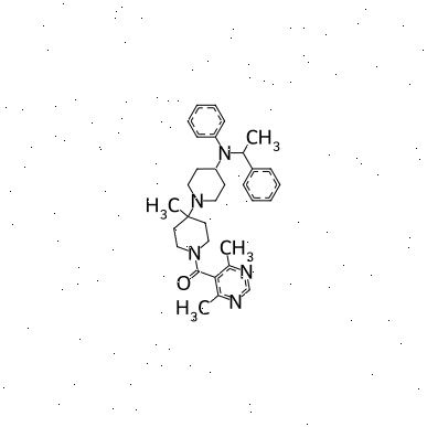 Cc1ncnc(C)c1C(=O)N1CCC(C)(N2CCC(N(c3ccccc3)C(C)c3ccccc3)CC2)CC1